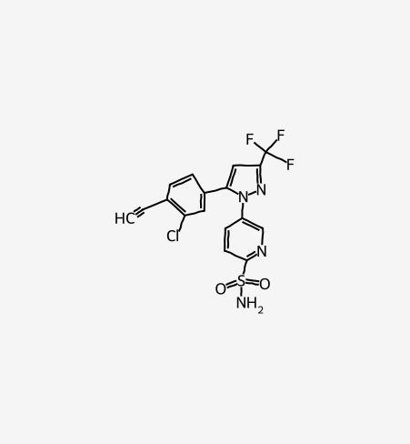 C#Cc1ccc(-c2cc(C(F)(F)F)nn2-c2ccc(S(N)(=O)=O)nc2)cc1Cl